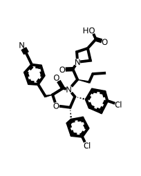 CCC[C@H](C(=O)N1CC(C(=O)O)C1)N1C(=O)[C@H](Cc2ccc(C#N)cc2)O[C@@H](c2ccc(Cl)cc2)[C@H]1c1ccc(Cl)cc1